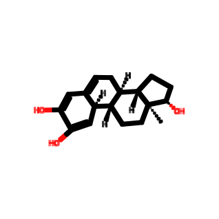 C[C@]12CC[C@H]3[C@@H](CC=C4C=C(O)C(O)=C[C@@H]43)[C@@H]1CC[C@@H]2O